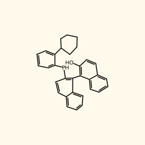 Oc1ccc2ccccc2c1-c1c(Pc2ccccc2C2CCCCC2)ccc2ccccc12